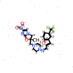 C[C@]1(CN2CCN(/N=C\c3cc4cc(C(F)(F)F)ccc4o3)CC2)Cn2cc([N+](=O)[O-])nc2O1